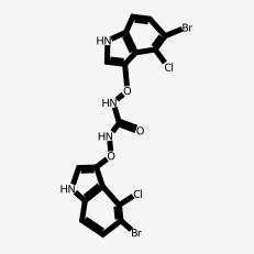 O=C(NOc1c[nH]c2ccc(Br)c(Cl)c12)NOc1c[nH]c2ccc(Br)c(Cl)c12